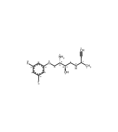 C#CC(C)NC[C@@H](O)[C@@H](N)COc1cc(F)cc(F)c1